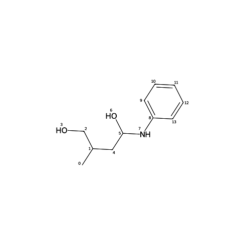 CC(CO)CC(O)Nc1ccccc1